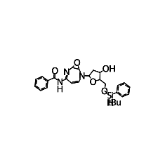 CC(C)(C)[SiH](OCC1OC(N2C=CC(NC(=O)c3ccccc3)=NC3OC32)CC1O)c1ccccc1